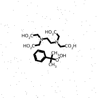 CC(C)(OO)c1ccccc1.O=C(O)CN(CCN(CC(=O)O)CC(=O)O)CC(=O)O